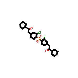 O=C(Cc1ccc(S(=O)(=O)c2ccc(CC(=O)c3ccccc3)cc2Cl)c(Cl)c1)c1ccccc1